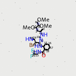 C=C(/C=C(OC)\C(=C\OC)OC)N/C=N/C(Nc1ccccc1C(=O)NCC(F)F)C(Br)C=N